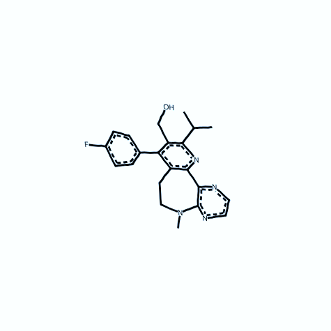 CC(C)c1nc2c(c(-c3ccc(F)cc3)c1CO)CCN(C)c1nccnc1-2